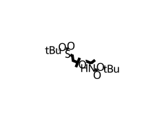 CC(COC(C)(C)CCSC(=O)OC(C)(C)C)NC(=O)OC(C)(C)C